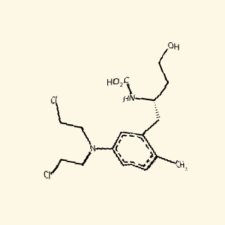 Cc1ccc(N(CCCl)CCCl)cc1C[C@@H](CCO)NC(=O)O